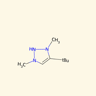 CN1C=C(C(C)(C)C)N(C)N1